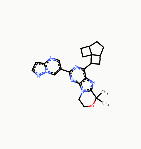 CC1(C)OCCn2c1nc1c(C3CC4CCC5CCC543)nc(-c3cnc4ccnn4c3)nc12